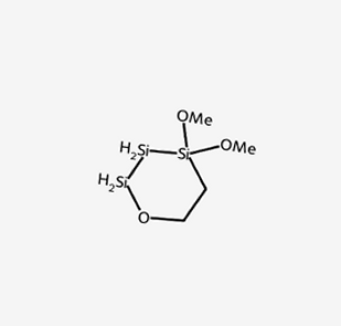 CO[Si]1(OC)CCO[SiH2][SiH2]1